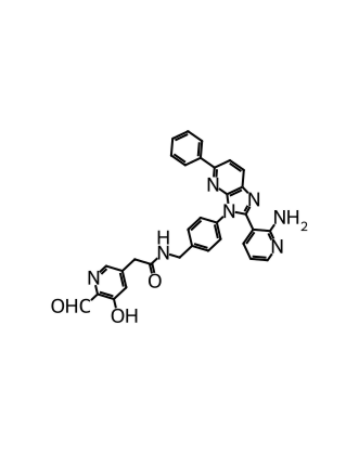 Nc1ncccc1-c1nc2ccc(-c3ccccc3)nc2n1-c1ccc(CNC(=O)Cc2cnc(C=O)c(O)c2)cc1